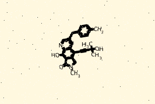 Cc1ccc(Cc2cnc3c(O)c4c(c(C#CC(C)(C)O)c3c2)CN(C)C4=O)cc1